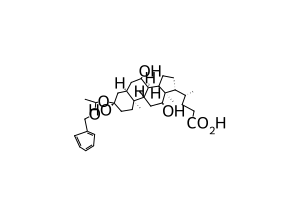 CC(OCc1ccccc1)O[C@@]1(O)CC[C@@]2(C)[C@H](C[C@@H](O)[C@@H]3[C@@H]2C[C@H](O)[C@]2(C)[C@@H]([C@H](C)CCC(=O)O)CC[C@@H]32)C1